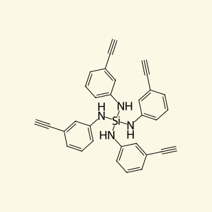 C#Cc1cccc(N[Si](Nc2cccc(C#C)c2)(Nc2cccc(C#C)c2)Nc2cccc(C#C)c2)c1